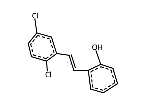 Oc1ccccc1/C=C/c1cc(Cl)ccc1Cl